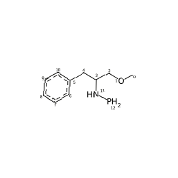 COCC(Cc1ccccc1)NP